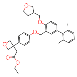 CCOC(=O)CC1(c2ccc(OCc3cc(-c4c(C)cccc4C)ccc3OCC3CCOC3)cc2)COC1